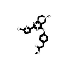 COC(=O)Cc1ccc(Oc2nc(-c3ccc(Cl)s3)nc3c2C[S+]([O-])CC3)cc1